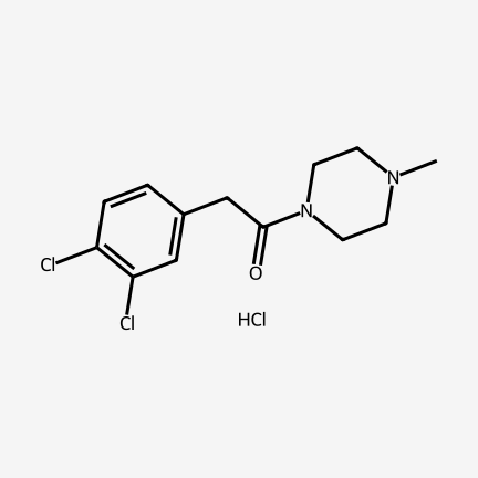 CN1CCN(C(=O)Cc2ccc(Cl)c(Cl)c2)CC1.Cl